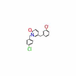 COc1cccc(Cc2ccc(=O)n(Cc3ccc(Cl)cc3)c2)c1